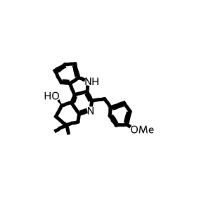 COc1ccc(Cc2nc3c(c4c2[nH]c2ccccc24)[C@H](O)CC(C)(C)C3)cc1